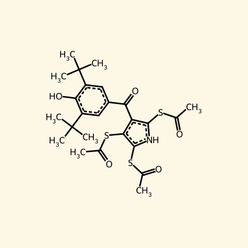 CC(=O)Sc1[nH]c(SC(C)=O)c(C(=O)c2cc(C(C)(C)C)c(O)c(C(C)(C)C)c2)c1SC(C)=O